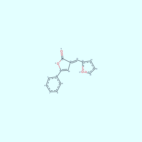 O=C1OC(c2ccccc2)=CC1=Cc1ccco1